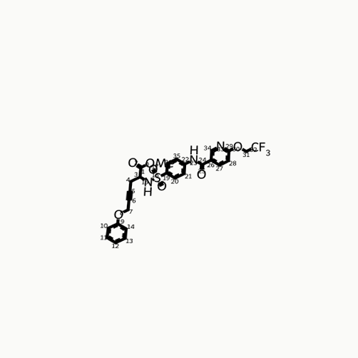 COC(=O)C(CC#CCOc1ccccc1)NS(=O)(=O)c1ccc(NC(=O)c2ccc(OCC(F)(F)F)nc2)cc1